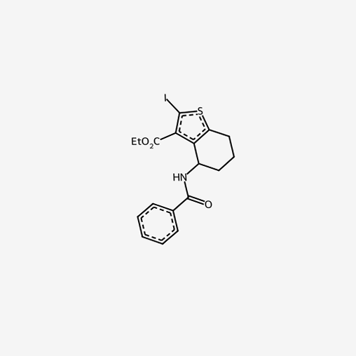 CCOC(=O)c1c(I)sc2c1C(NC(=O)c1ccccc1)CCC2